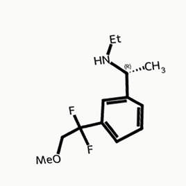 CCN[C@H](C)c1cccc(C(F)(F)COC)c1